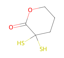 O=C1OCCCC1(S)S